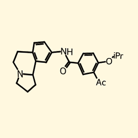 CC(=O)c1cc(C(=O)Nc2ccc3c(c2)C2CCCN2CC3)ccc1OC(C)C